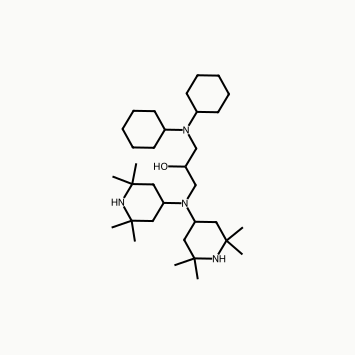 CC1(C)CC(N(CC(O)CN(C2CCCCC2)C2CCCCC2)C2CC(C)(C)NC(C)(C)C2)CC(C)(C)N1